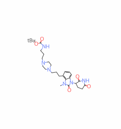 Cn1c(=O)n(C2CCC(=O)NC2=O)c2cccc(CCCN3CCN(CCCNC(=O)OC(C)(C)C)CC3)c21